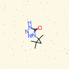 CC1(C)CC1(C)n1nn[nH]c1=O